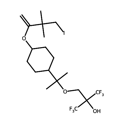 C=C(OC1CCC(C(C)(C)OCC(O)(C(F)(F)F)C(F)(F)F)CC1)C(C)(C)CI